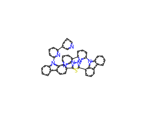 c1cncc(-c2cccc(-n3c4ccccc4c4ccc(-c5nnc(-c6cccc7c8ccccc8n(-c8cccc(-c9cccnc9)n8)c67)s5)cc43)n2)c1